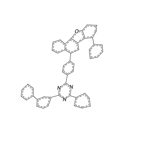 c1ccc(-c2cccc(-c3nc(-c4ccccc4)nc(-c4ccc(-c5cc6c(oc7cccc(-c8ccccc8)c76)c6ccccc56)cc4)n3)c2)cc1